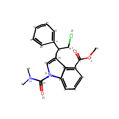 COC(=O)c1cccc2c1c(C(CCl)c1ccccc1)cn2C(=O)N(C)C